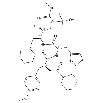 CNC(=O)[C@@H](C[C@H](O)[C@H](CC1CCCCC1)NC(=O)[C@H](Cc1cscn1)NC(=O)[C@@H](CC(=O)N1CCOCC1)Cc1ccc(OC)cc1)C(C)(C)O